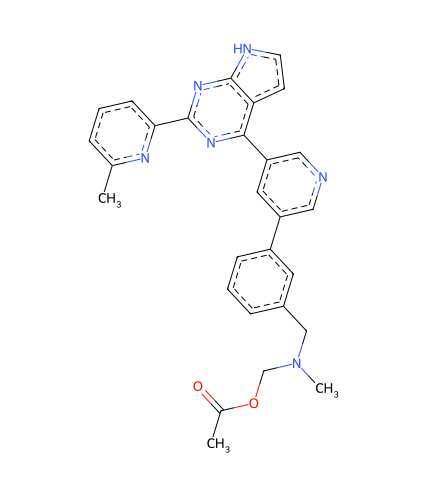 CC(=O)OCN(C)Cc1cccc(-c2cncc(-c3nc(-c4cccc(C)n4)nc4[nH]ccc34)c2)c1